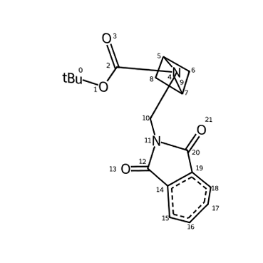 CC(C)(C)OC(=O)N1C2CC(C2)C1CN1C(=O)c2ccccc2C1=O